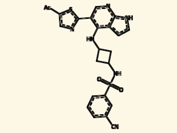 CC(=O)c1cnc(-c2cnc3[nH]ccc3c2NC2CC(NS(=O)(=O)c3cccc(C#N)c3)C2)s1